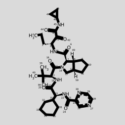 CCC[C@@H](NC(=O)[C@H]1[C@@H]2CCC[C@H]2CN1C(=O)[C@@H](NC(=O)[C@@H](NC(=O)c1cnccn1)C1CCCCC1)C(C)(C)C)C(=O)C(=O)NC1CC1